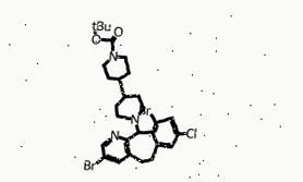 CC(C)(C)OC(=O)N1CCC(C2CCN(C3c4ncc(Br)cc4CCc4cc(Cl)cc(Br)c43)CC2)CC1